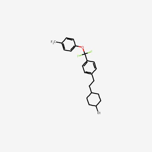 CCC1CCC(CCc2ccc(C(F)(F)Oc3ccc(C(F)(F)F)cc3)cc2)CC1